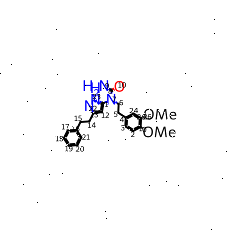 COc1ccc(CCN(C(N)=O)c2cc(CCc3ccccc3)n[nH]2)cc1OC